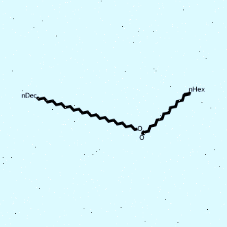 CCCCCCC=CCCCCCCCCCCCC(=O)OCCCCCCCCCCCCCCCCCCCCCCCCCCCCCCCCC